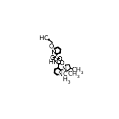 C#CCOc1cccc(S(=O)(=O)NC(=O)c2cccnc2N2CCC(C)C2(C)C)n1